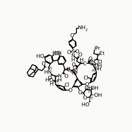 CC[C@H](CC(C)C)C(=O)N[C@H]1C(=O)C[C@@H](CC(=O)NS(=O)(=O)c2ccc(OCCN)cc2)C(=O)N[C@H]2C(=O)C[C@H]3C(=O)N[C@H](C(=O)N[C@H](C(=O)CC4C5CC6CC(C5)CC4C6)c4cc(O)cc(O)c4-c4cc3ccc4O)[C@H](O)c3ccc(c(Cl)c3)Oc3cc2cc(c3O[C@@H]2O[C@H](CO)[C@@H](O)[C@H](O)[C@H]2O)Oc2ccc(cc2Cl)[C@H]1O